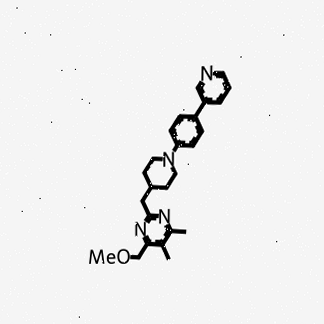 COCc1nc(CC2CCN(c3ccc(-c4cccnc4)cc3)CC2)nc(C)c1C